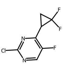 Fc1cnc(Cl)nc1C1CC1(F)F